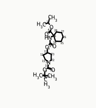 CC(C)OC(=O)C1(NC(=O)OC2CCN(C(=O)OC(C)(C)C)CC2)CCCCC1